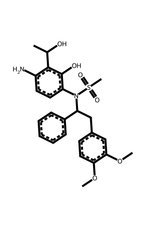 COc1ccc(CC(c2ccccc2)N(c2ccc(N)c(C(C)O)c2O)S(C)(=O)=O)cc1OC